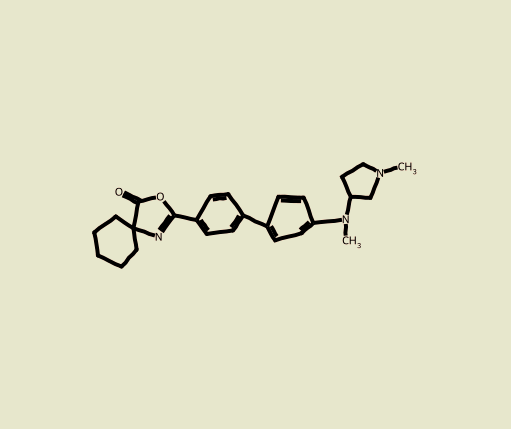 CN1CCC(N(C)c2ccc(-c3ccc(C4=NC5(CCCCC5)C(=O)O4)cc3)cc2)C1